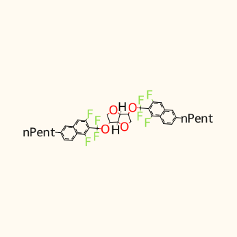 CCCCCc1ccc2c(F)c(C(F)(F)O[C@H]3CO[C@@H]4[C@H]3OC[C@H]4OC(F)(F)c3c(F)cc4cc(CCCCC)ccc4c3F)c(F)cc2c1